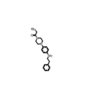 CC(C)(C)CC(=O)N1CCN(c2ccc(NCCc3ccccc3)cc2)CC1